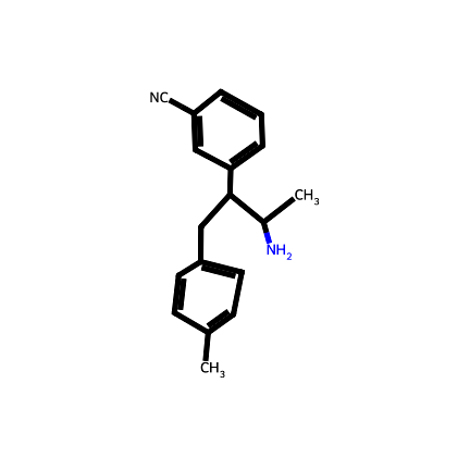 Cc1ccc(CC(c2cccc(C#N)c2)C(C)N)cc1